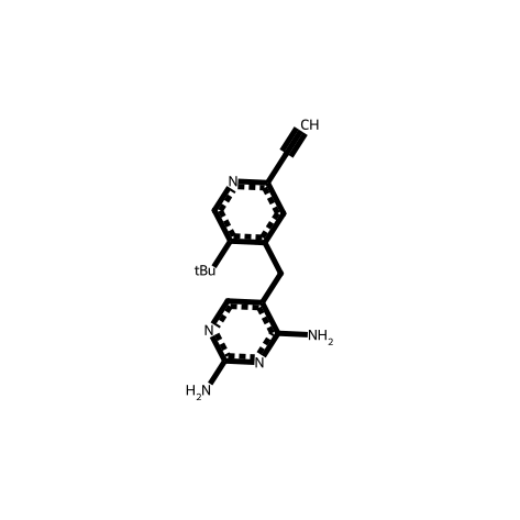 C#Cc1cc(Cc2cnc(N)nc2N)c(C(C)(C)C)cn1